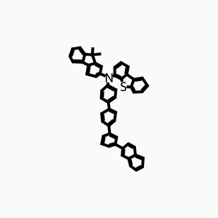 CC1(C)c2ccccc2-c2ccc(N(c3ccc(-c4ccc(-c5cccc(-c6ccc7ccccc7c6)c5)cc4)cc3)c3cccc4c3sc3ccccc34)cc21